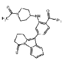 CC(=O)N1CCC(Nc2cc(-c3c4n(c5ccccc35)C(=O)CCC4)ccc2C(N)=O)CC1